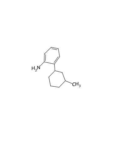 CC1CCCC(c2ccccc2N)C1